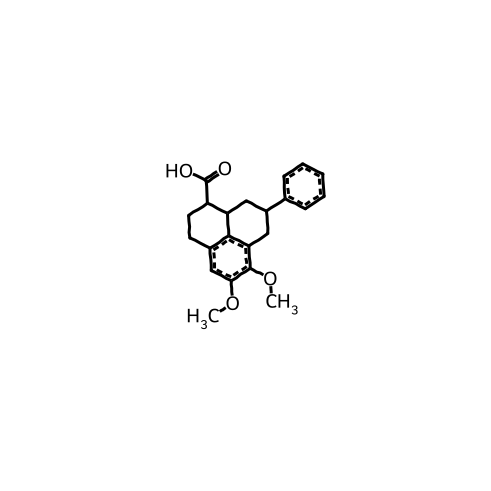 COc1cc2c3c(c1OC)CC(c1ccccc1)CC3C(C(=O)O)CC2